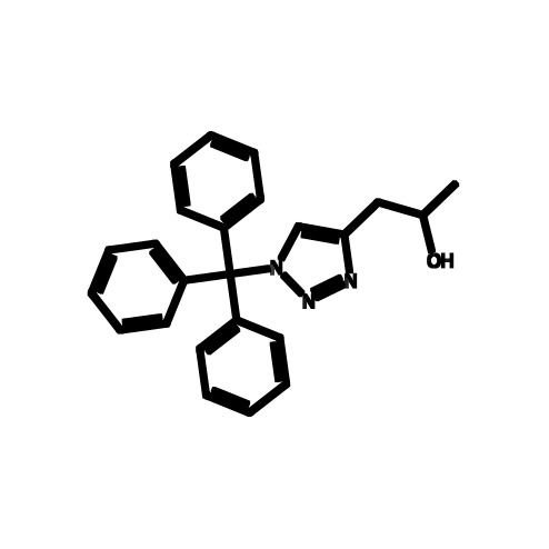 CC(O)Cc1cn(C(c2ccccc2)(c2ccccc2)c2ccccc2)nn1